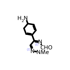 CN/N=C\C(=N/C=O)C1=CCC(N)C=C1